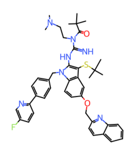 CN(C)CCN(C(=N)Nc1c(SC(C)(C)C)c2cc(OCc3ccc4ccccc4n3)ccc2n1Cc1ccc(-c2ccc(F)cn2)cc1)C(=O)C(C)(C)C